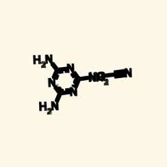 N#CO.Nc1nc(N)nc(N)n1